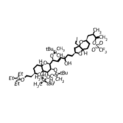 C=C(OS(=O)(=O)C(F)(F)F)C(C)C[C@H]1CC[C@@H]2O[C@@H](CCC(O)C=C[C@H](O[Si](C)(C)C(C)(C)C)[C@@H]3O[C@H]4CC[C@H](CCO[Si](CC)(CC)CC)O[C@@H]4[C@H](O[Si](C)(C)C(C)(C)C)[C@@H]3O[Si](C)(C)C(C)(C)C)C[C@]2(CI)O1